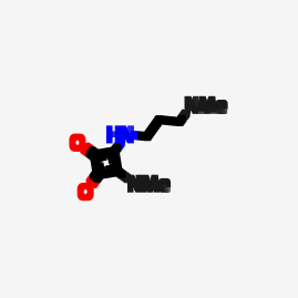 CNCCCNc1c(NC)c(=O)c1=O